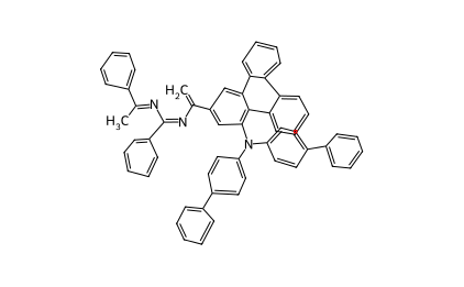 C=C(/N=C(\N=C(/C)c1ccccc1)c1ccccc1)c1cc(N(c2ccc(-c3ccccc3)cc2)c2ccc(-c3ccccc3)cc2)c2c3ccccc3c3ccccc3c2c1